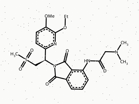 CCOc1nc([C@H](CS(C)(=O)=O)N2C(=O)c3cccc(NC(=O)CN(C)C)c3C2=O)ccc1OC